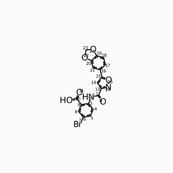 O=C(Nc1ccc(Br)cc1C(=O)O)c1cc(-c2ccc3c(c2)OCO3)on1